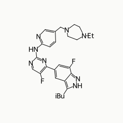 CCC(C)c1[nH]nc2c(F)cc(-c3nc(Nc4ccc(CN5CCN(CC)CC5)cn4)ncc3F)cc12